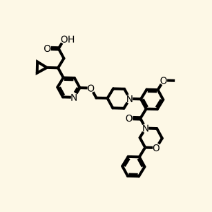 COc1ccc(C(=O)N2CCOC(c3ccccc3)C2)c(N2CCC(COc3cc(C(CC(=O)O)C4CC4)ccn3)CC2)c1